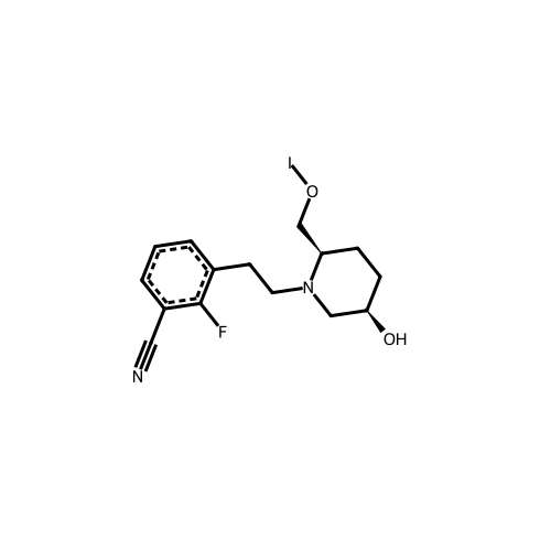 N#Cc1cccc(CCN2C[C@H](O)CC[C@@H]2COI)c1F